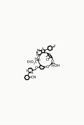 CCOC(=O)[C@H]1Cc2cc(ccc2OCc2ccnc(-c3ccccc3C#N)n2)OC[C@@H](CO)Oc2ccc(c(C)c2Cl)-c2c(-c3ccc(F)cc3)sc3ncnc(c23)O1